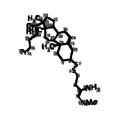 CN/C=C(\N)CCSSC1CCC2(C)C(=CCC3C2CCC2(C)C3CCC2(C)C(C)CCCC(C)C)C1